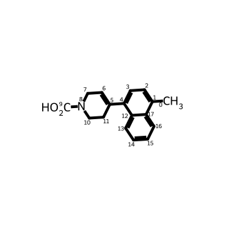 Cc1ccc(C2=CCN(C(=O)O)CC2)c2ccccc12